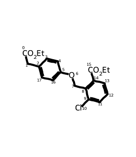 CCOC(=O)Cc1ccc(OCc2c(Cl)cccc2C(=O)OCC)cc1